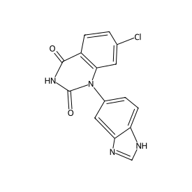 O=c1[nH]c(=O)n(-c2ccc3[nH]cnc3c2)c2cc(Cl)ccc12